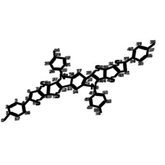 Cc1ccc(-c2cc3sc4c(sc5c6cc7c(cc6n(-c6ccc(C)cc6)c54)c4sc5c6sc(-c8ccc(C)cc8)cc6sc5c4n7-c4ccc(C)cc4)c3s2)cc1